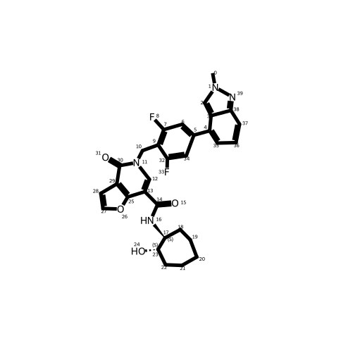 Cn1cc2c(-c3cc(F)c(Cn4cc(C(=O)N[C@H]5CCCCC[C@@H]5O)c5occc5c4=O)c(F)c3)cccc2n1